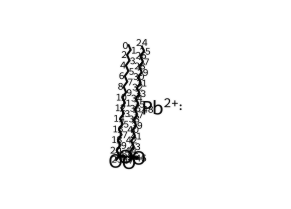 CCCCCCCCCCCCCCCCCCCCCC(=O)[O-].CCCCCCCCCCCCCCCCCCCCCC(=O)[O-].[Pb+2]